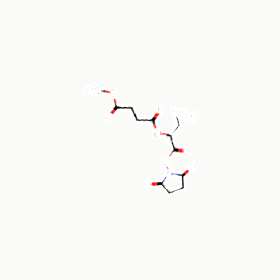 CCCCOC(=O)CCC(=O)O[C@@H](CC(=O)OCC)C(=O)ON1C(=O)CCC1=O